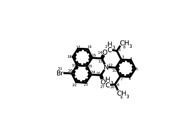 CC(C)c1cccc(C(C)C)c1N1C(=O)c2cccc3c(Br)ccc(c23)C1=O